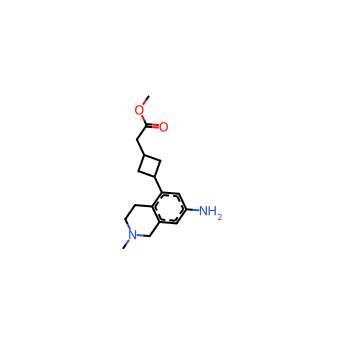 COC(=O)CC1CC(c2cc(N)cc3c2CCN(C)C3)C1